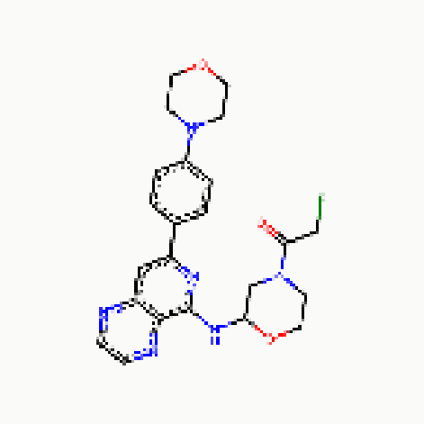 O=C(CF)N1CCOC(Nc2nc(-c3ccc(N4CCOCC4)cc3)cc3nccnc23)C1